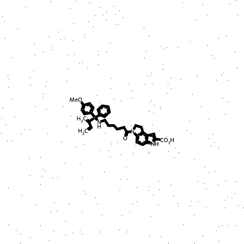 C=CC(=C)C(NCCCCCC(=O)N1CCc2c1ccc1[nH]c(C(=O)O)cc21)(c1ccccc1)c1ccc(OC)cc1